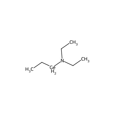 C[CH2][GeH2][N](CC)CC